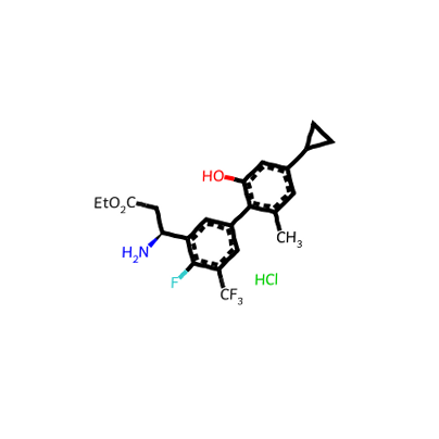 CCOC(=O)C[C@H](N)c1cc(-c2c(C)cc(C3CC3)cc2O)cc(C(F)(F)F)c1F.Cl